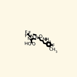 Cc1cc(C[C@@H](N)CC(=O)N2CCn3c(C(F)(F)F)nc(C(=O)O)c3C2)c(F)cc1F